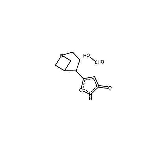 O=CO.O=c1cc(C2CCN3CC2C3)o[nH]1